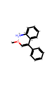 COC=C(c1ccccc1)c1ccccc1N